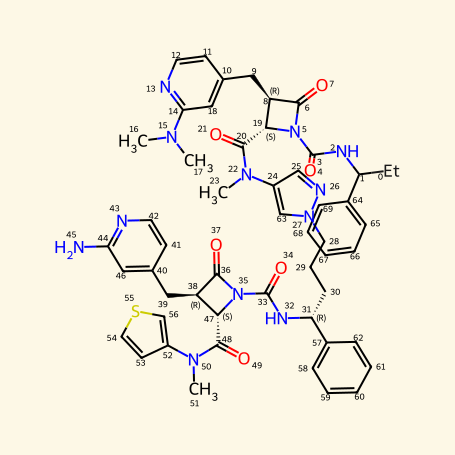 CCC(NC(=O)N1C(=O)[C@H](Cc2ccnc(N(C)C)c2)[C@H]1C(=O)N(C)c1cnn(CCC[C@@H](NC(=O)N2C(=O)[C@H](Cc3ccnc(N)c3)[C@H]2C(=O)N(C)c2ccsc2)c2ccccc2)c1)c1ccccc1